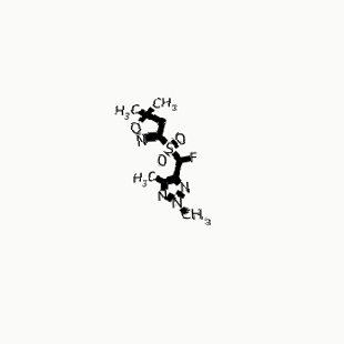 Cc1nn(C)nc1C(F)S(=O)(=O)C1=NOC(C)(C)C1